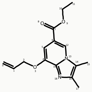 C=CCOc1cc(C(=O)OCC)cn2c(C)c(C)nc12